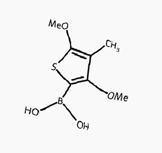 COc1sc(B(O)O)c(OC)c1C